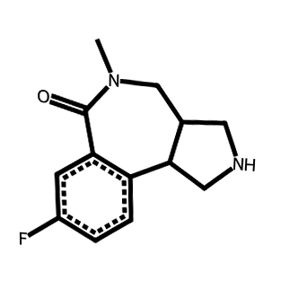 CN1CC2CNCC2c2ccc(F)cc2C1=O